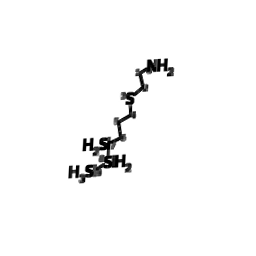 NCCSCCC[SiH2][SiH2][SiH3]